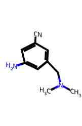 CN(C)Cc1cc(N)cc(C#N)c1